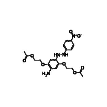 CC(=O)OCCOc1cc(NNc2ccc([N+](=O)[O-])cc2)c(OCCOC(C)=O)cc1N